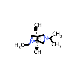 C#C[C@]12CN(C(C)C)C[C@@]1(C#C)N(CC)C2